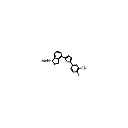 CN[C@@H]1CCc2c(-c3ccc(-c4ccc(F)c(C#N)c4)s3)cccc21